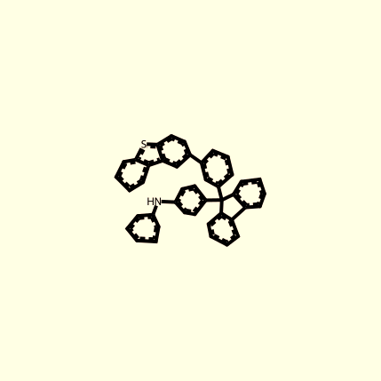 c1ccc(Nc2ccc(C3(c4cccc(-c5ccc6sc7ccccc7c6c5)c4)c4ccccc4-c4ccccc43)cc2)cc1